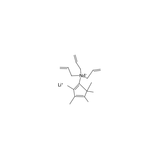 C=C[CH2][Nd-]([CH2]C=C)([CH2]C=C)[C]1=C(C)C(C)=C(C)C1(C)C.[Li+]